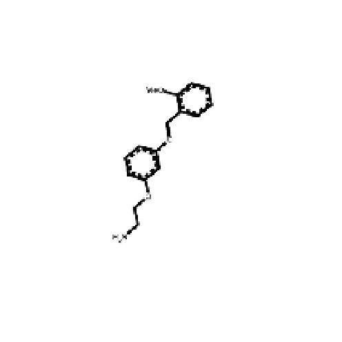 COc1ccccc1COc1cccc(OCCN)c1